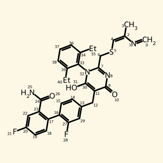 C=N/C(C)=C\SCc1nc(=O)c(Cc2ccc(-c3ccc(F)cc3C(N)=O)c(F)c2)c(O)n1-c1c(CC)cccc1CC